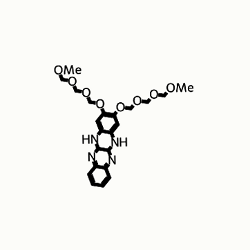 COCOCOCOc1cc2c(cc1OCOCOCOC)NC1N=c3ccccc3=NC1N2